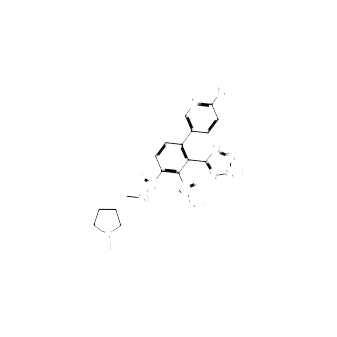 Nc1ccc(-c2ccc(S(=O)(=O)NC[C@H]3CCNC3)c(S(N)(=O)=O)c2-c2nn[nH]n2)cn1